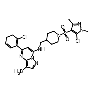 Bc1cnn2c(NCC3CCN(S(=O)(=O)c4c(C)nn(C)c4Cl)CC3)cc(C3=C(Cl)CCC=C3)nc12